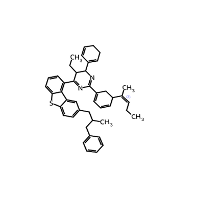 CC/C=C(/C)C1C=CC=C(C2=NC(C3=CCCC=C3)C(CC)C(c3cccc4sc5ccc(CC(C)Cc6ccccc6)cc5c34)=N2)C1